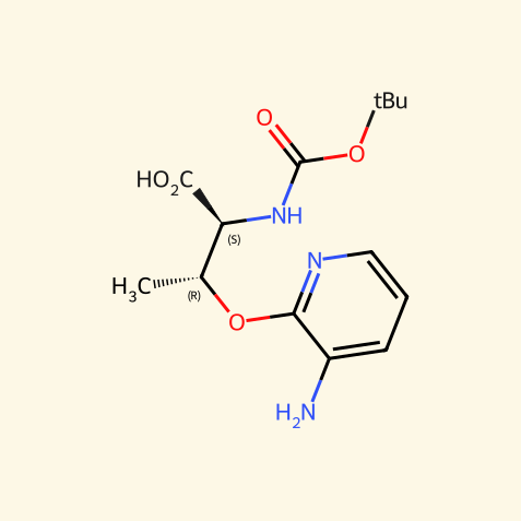 C[C@@H](Oc1ncccc1N)[C@H](NC(=O)OC(C)(C)C)C(=O)O